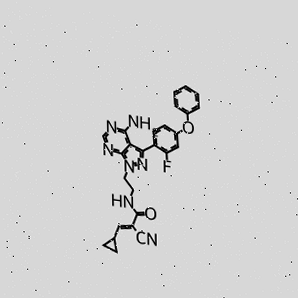 N#CC(=CC1CC1)C(=O)NCCn1nc(-c2ccc(Oc3ccccc3)cc2F)c2c(N)ncnc21